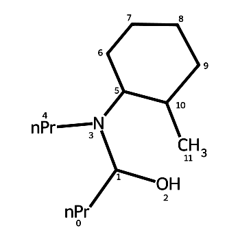 CCCC(O)N(CCC)C1CCCCC1C